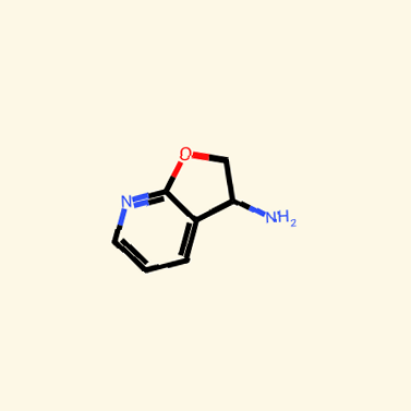 NC1COc2ncccc21